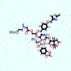 COCCN(C)CC(=O)OCC(=O)O[C@H](CN(CC(C)C)S(=O)(=O)c1ccc2c(c1)OCO2)[C@H](Cc1ccc(OCc2csc(C)n2)cc1)NC(=O)O[C@H]1CO[C@H]2OCC[C@H]21